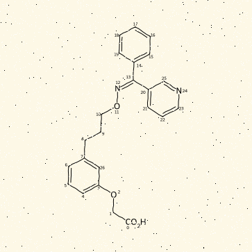 O=C(O)COc1cccc(CCCON=C(c2ccccc2)c2cccnc2)c1